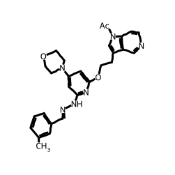 CC(=O)n1cc(CCOc2cc(N3CCOCC3)cc(NN=Cc3cccc(C)c3)n2)c2cnccc21